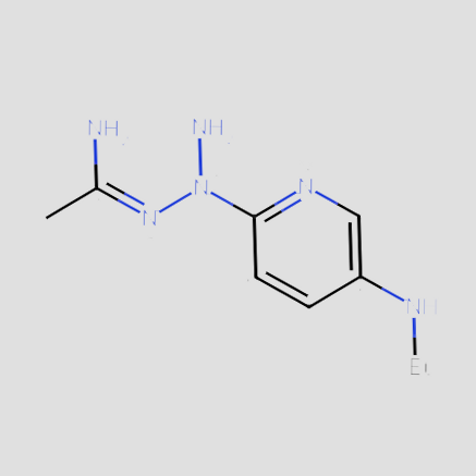 CCNc1ccc(N(N)/N=C(/C)N)nc1